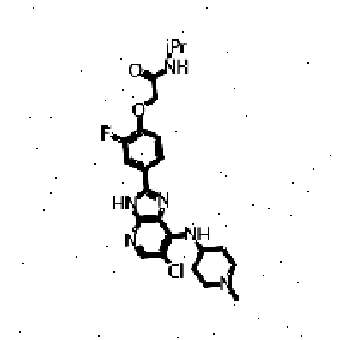 CC(C)NC(=O)COc1ccc(-c2nc3c(NC4CCN(C)CC4)c(Cl)cnc3[nH]2)cc1F